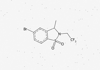 CC1c2cc(Br)ccc2S(=O)(=O)N1CC(F)(F)F